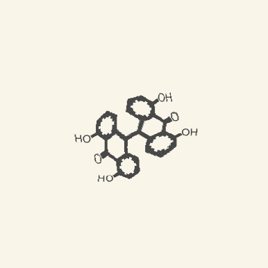 O=C1c2c(O)cccc2C(C2c3cccc(O)c3C(=O)c3c(O)cccc32)c2cccc(O)c21